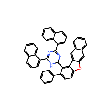 c1ccc(-c2ccc3oc4cc5ccccc5cc4c3c2C2N=C(c3cccc4ccccc34)N=C(c3cccc4ccccc34)N2)cc1